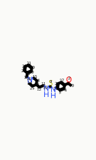 CC(=O)c1ccc(NC(=S)NCCC2CCN(Cc3ccccc3)CC2)cc1